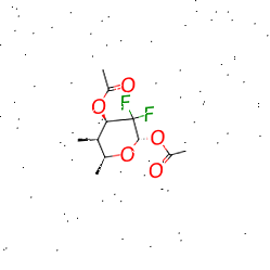 CC(=O)O[C@@H]1O[C@@H](C)[C@@H](C)[C@@H](OC(C)=O)C1(F)F